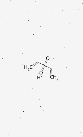 C=CS(=O)(=O)C=C.[H+]